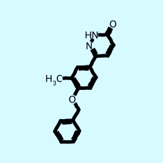 Cc1cc(-c2ccc(=O)[nH]n2)ccc1OCc1ccccc1